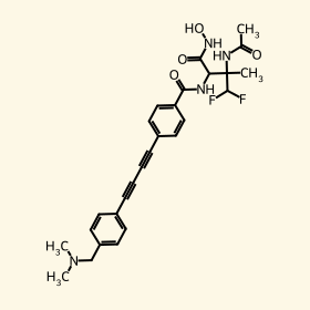 CC(=O)NC(C)(C(F)F)C(NC(=O)c1ccc(C#CC#Cc2ccc(CN(C)C)cc2)cc1)C(=O)NO